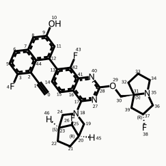 C#Cc1c(F)ccc2cc(O)cc(-c3ccc4c(N5C[C@H]6CC[C@@H](C5)C6F)nc(OC[C@@]56CCCN5C[C@H](F)C6)nc4c3F)c12